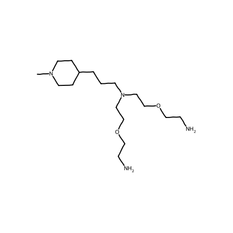 CN1CCC(CCCN(CCOCCN)CCOCCN)CC1